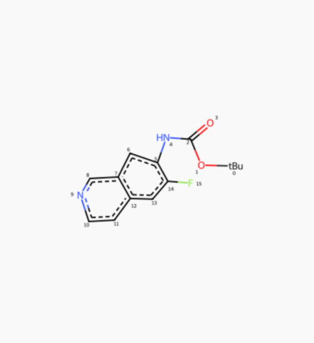 CC(C)(C)OC(=O)Nc1cc2cnccc2cc1F